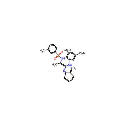 C=C1C=CC=C/C1=N/C(Nc1cc(OC)cc(OC)c1)=C(\C)NS(=O)(=O)c1cccc(C)c1